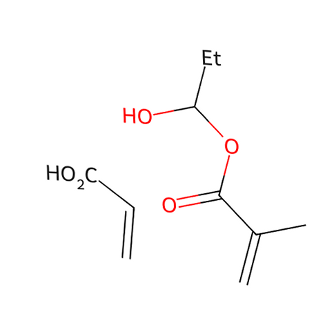 C=C(C)C(=O)OC(O)CC.C=CC(=O)O